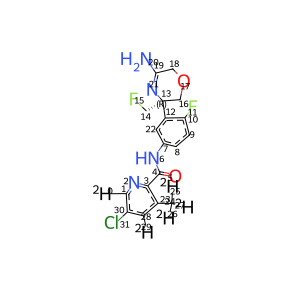 [2H]c1nc(C(=O)Nc2ccc(F)c([C@]3(CF)COCC(N)=N3)c2)c(C([2H])([2H])[2H])c([2H])c1Cl